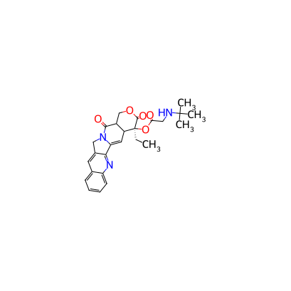 CC[C@@]1(OC(=O)CNC(C)(C)C)C(=O)OCC2C(=O)N3Cc4cc5ccccc5nc4C3=CC21